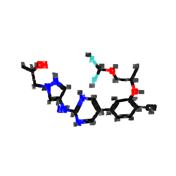 CC(O)Cn1cc(Nc2ncc(-c3ccc(C#N)c(OC(C)COC(F)F)c3)cn2)cn1